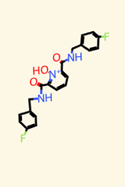 O=C(NCc1ccc(F)cc1)c1cccc(C(=O)NCc2ccc(F)cc2)[n+]1O